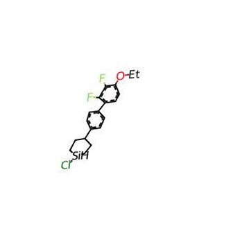 CCOc1ccc(-c2ccc(C3CC[SiH](Cl)CC3)cc2)c(F)c1F